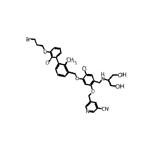 Cc1c(COc2cc(OCc3cncc(C#N)c3)c(CNC(CO)CO)cc2Cl)cccc1-c1cccc(OCCCBr)c1Cl